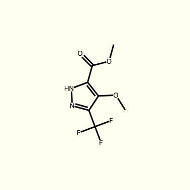 COC(=O)c1[nH]nc(C(F)(F)F)c1OC